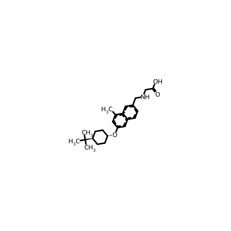 Cc1cc(O[C@H]2CC[C@H](C(C)(C)C)CC2)cc2ccc(CNCC(=O)O)cc12